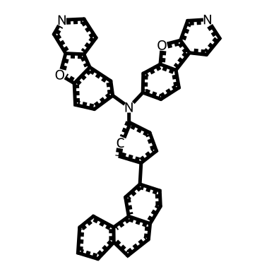 c1ccc2c(c1)ccc1ccc(-c3ccc(N(c4ccc5c(c4)oc4cnccc45)c4ccc5oc6cnccc6c5c4)cc3)cc12